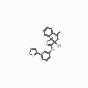 CC(CC(O)(C(=O)Nc1cccc(-c2cnsn2)c1)C(F)(F)F)c1ccccc1